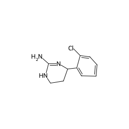 NC1=NC(c2ccccc2Cl)CCN1